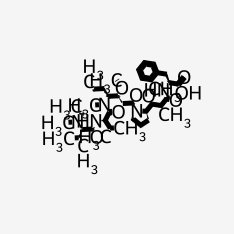 CCC[C@@H]([C@@H](CC(=O)N1CCC[C@H]1[C@H](OC)[C@@H](C)C(=O)N[C@@H](Cc1ccccc1)C(=O)O)OC)N(C)C(=O)[C@@H](NC(=O)[C@H](C(C)C)N(C)CC)C(C)C